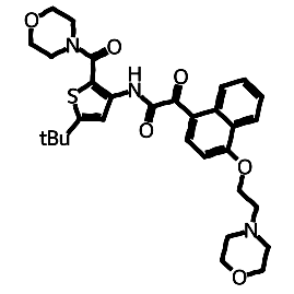 CC(C)(C)c1cc(NC(=O)C(=O)c2ccc(OCCN3CCOCC3)c3ccccc23)c(C(=O)N2CCOCC2)s1